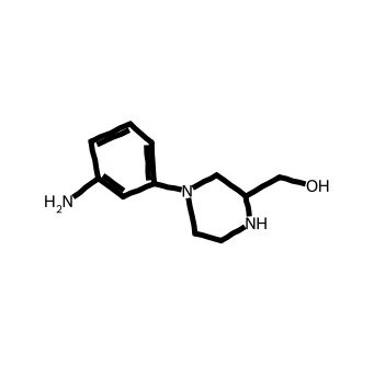 Nc1cccc(N2CCNC(CO)C2)c1